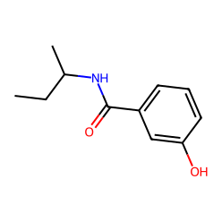 CCC(C)NC(=O)c1cccc(O)c1